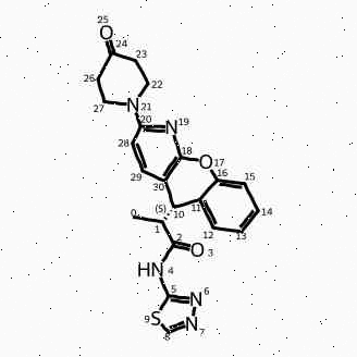 CC(C(=O)Nc1nncs1)[C@H]1c2ccccc2Oc2nc(N3CCC(=O)CC3)ccc21